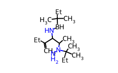 C=C(CC)C(NBC(C)(C)CC)C(C)N(N)C(C)(C)CC